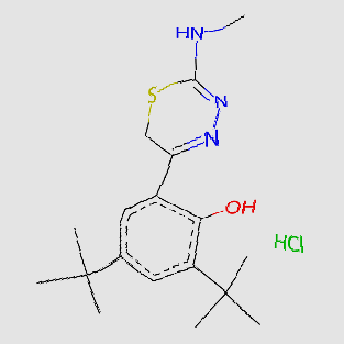 CNC1=NN=C(c2cc(C(C)(C)C)cc(C(C)(C)C)c2O)CS1.Cl